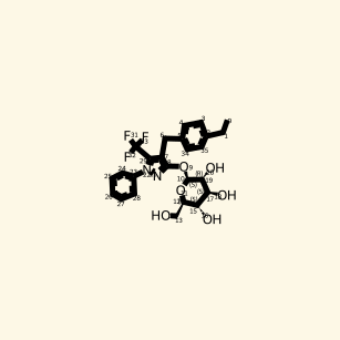 CCc1ccc(Cc2c(O[C@@H]3O[C@H](CO)[C@@H](O)[C@H](O)[C@H]3O)nn(-c3ccccc3)c2C(F)(F)F)cc1